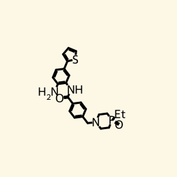 CCP1(=O)CCN(Cc2ccc(C(=O)Nc3cc(-c4cccs4)ccc3N)cc2)CC1